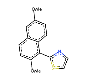 COc1ccc2c(-c3nccs3)c(OC)ccc2c1